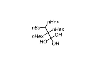 CCCCCCC(CCCC)C(CCCCCC)(CCCCCC)C(O)(O)O